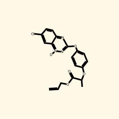 C=CCOC(=O)C(C)Oc1ccc(Oc2nc3ccc(Cl)cc3[n+]([O-])n2)cc1